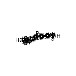 O=C1NCCN1c1ccc(-c2ccc(-c3nc4cc(O[C@@H]5CO[C@H]6[C@@H]5OC[C@H]6O)[nH]c4cc3F)cc2)cc1